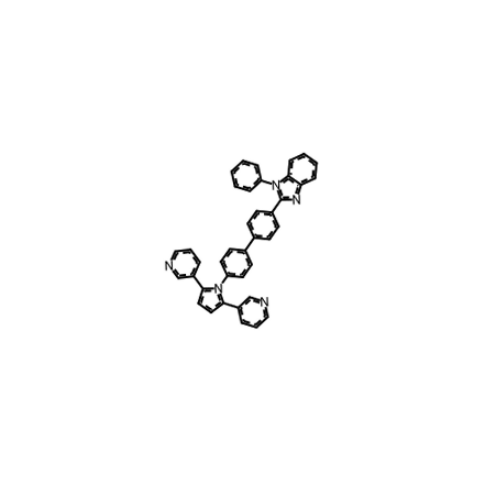 c1ccc(-n2c(-c3ccc(-c4ccc(-n5c(-c6cccnc6)ccc5-c5cccnc5)cc4)cc3)nc3ccccc32)cc1